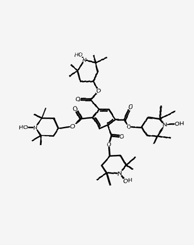 CC1(C)CC(OC(=O)c2cc(C(=O)OC3CC(C)(C)N(O)C(C)(C)C3)c(C(=O)OC3CC(C)(C)N(O)C(C)(C)C3)cc2C(=O)OC2CC(C)(C)N(O)C(C)(C)C2)CC(C)(C)N1O